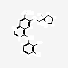 COc1cc2ncnc(Nc3cccc(Cl)c3F)c2cc1OC[C@]1(C)CCCN1